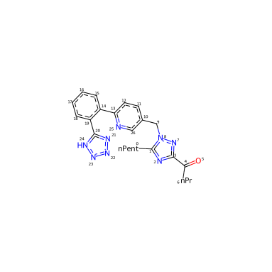 CCCCCc1nc(C(=O)CCC)nn1Cc1ccc(-c2ccccc2-c2nnn[nH]2)nc1